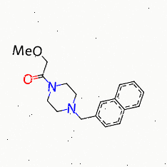 COCC(=O)N1CCN(Cc2ccc3ccccc3c2)CC1